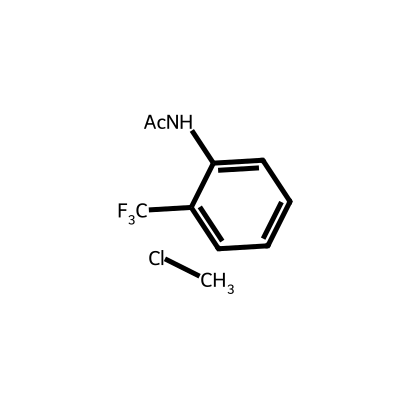 CC(=O)Nc1ccccc1C(F)(F)F.CCl